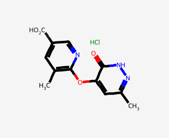 Cc1cc(Oc2ncc(C(=O)O)cc2C)c(=O)[nH]n1.Cl